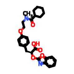 CN(CCOc1ccc(C[C@H](Oc2nc3ccccc3o2)C(=O)O)cc1)C(=O)C1CCCCC1